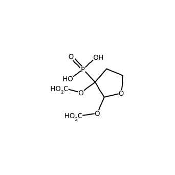 O=C(O)OC1OCCC1(OC(=O)O)P(=O)(O)O